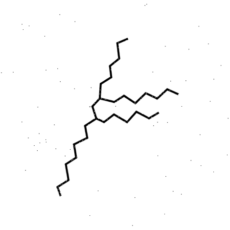 CCCCCCCCC([CH]C(CCCCCC)CCCCCCC)CCCCCC